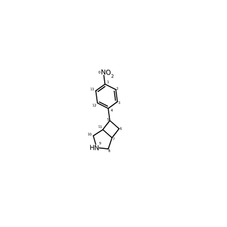 O=[N+]([O-])c1ccc(C2CC3CNCC32)cc1